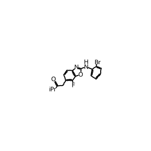 CC(C)C(=O)Cc1ccc2nc(Nc3ccccc3Br)oc2c1F